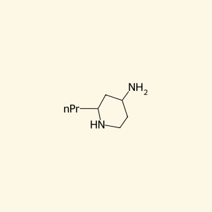 CCCC1CC(N)CCN1